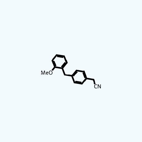 COc1ccccc1Cc1ccc(CC#N)cc1